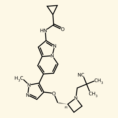 Cn1ncc(OC[C@H]2CCN2CC(C)(C)C#N)c1-c1ccn2nc(NC(=O)C3CC3)cc2c1